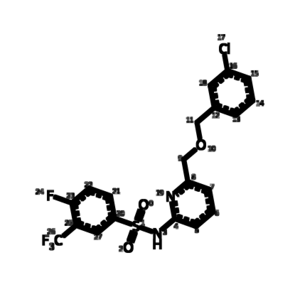 O=S(=O)(Nc1cccc(COCc2cccc(Cl)c2)n1)c1ccc(F)c(C(F)(F)F)c1